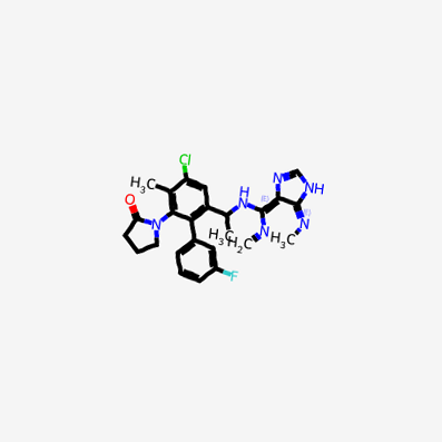 C=N/C(NC(C)c1cc(Cl)c(C)c(N2CCCC2=O)c1-c1cccc(F)c1)=C1/N=CN/C1=N/C